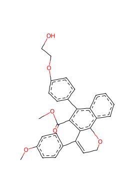 COC(=O)c1c2c(c3ccccc3c1-c1ccc(OCCO)cc1)OCC=C2c1ccc(OC)cc1